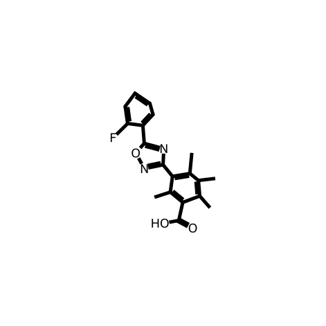 Cc1c(C)c(C(=O)O)c(C)c(-c2noc(-c3ccccc3F)n2)c1C